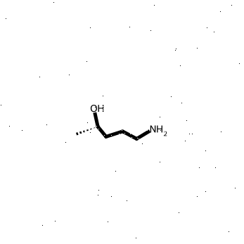 C[C@H](O)CCCN